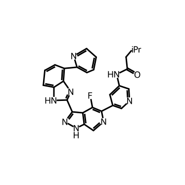 CC(C)CC(=O)Nc1cncc(-c2ncc3[nH]nc(-c4nc5c(-c6ccccn6)cccc5[nH]4)c3c2F)c1